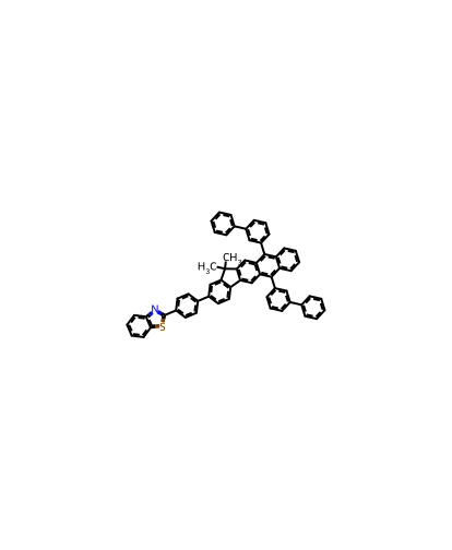 CC1(C)c2cc(-c3ccc(-c4nc5ccccc5s4)cc3)ccc2-c2cc3c(-c4cccc(-c5ccccc5)c4)c4ccccc4c(-c4cccc(-c5ccccc5)c4)c3cc21